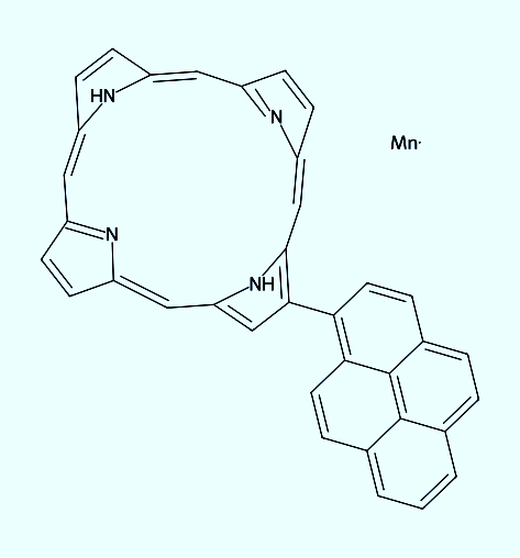 C1=Cc2cc3cc(-c4ccc5ccc6cccc7ccc4c5c67)c(cc4nc(cc5ccc(cc1n2)[nH]5)C=C4)[nH]3.[Mn]